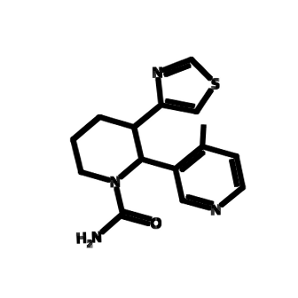 Cc1ccncc1C1C(c2cscn2)CCCN1C(N)=O